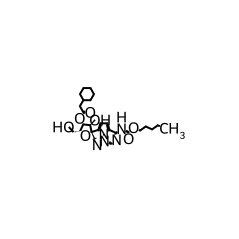 CCCCCOC(=O)Nc1ncnn2c([C@]3(C#N)O[C@H](CO)[C@@H](OC(=O)CC4CCCCC4)[C@H]3O)ccc12